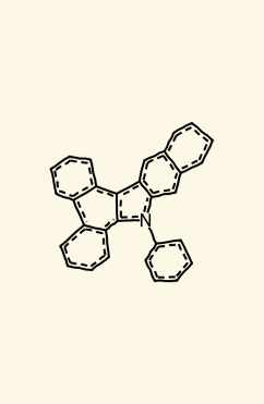 c1ccc(-n2c3cc4ccccc4cc3c3c4ccccc4c4ccccc4c32)cc1